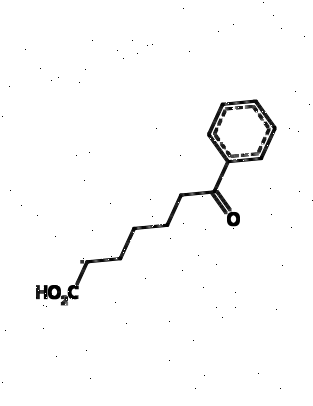 O=C(O)[CH]CCCCC(=O)c1ccccc1